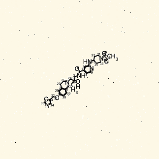 C[C@@](O)(CNC(=O)c1ccnc(NC2CCN(S(C)(=O)=O)CC2)c1)CN1CCc2cc(OCc3cnco3)ccc2C1